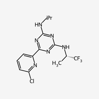 CC(C)Nc1nc(N[C@@H](C)C(F)(F)F)nc(-c2cccc(Cl)n2)n1